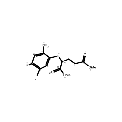 COC(=O)CC[C@H](Oc1cc(F)c(Br)cc1[N+](=O)[O-])C(=O)OC